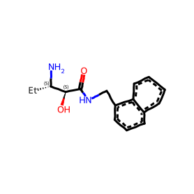 CC[C@H](N)[C@H](O)C(=O)NCc1cccc2ccccc12